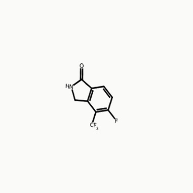 O=C1NCc2c1ccc(F)c2C(F)(F)F